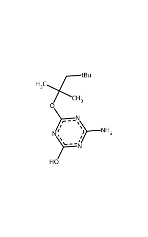 CC(C)(C)CC(C)(C)Oc1nc(N)nc(O)n1